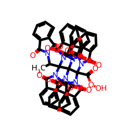 CC(N1C(=O)c2ccccc2C1=O)C(N1C(=O)c2ccccc2C1=O)(N1C(=O)c2ccccc2C1=O)C(N1C(=O)c2ccccc2C1=O)(N1C(=O)c2ccccc2C1=O)C(C(=O)OO)(N1C(=O)c2ccccc2C1=O)N1C(=O)c2ccccc2C1=O